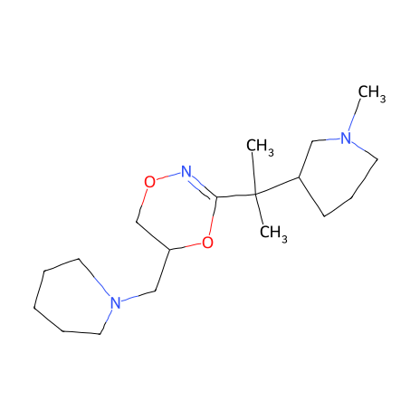 CN1CCCC(C(C)(C)C2=NOCC(CN3CCCCC3)O2)C1